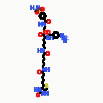 [N-]=[N+]=Nc1ccc(C(=O)NC(CCCCNC(=O)CCCCCNC(=O)CCCC[C@H]2SCC3NC(=O)NC32)C(=O)OCCNC(=O)c2ccc(S(N)(=O)=O)cc2)cc1